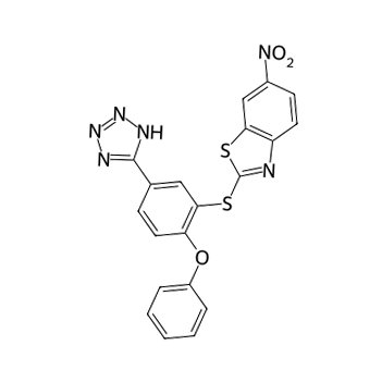 O=[N+]([O-])c1ccc2nc(Sc3cc(-c4nnn[nH]4)ccc3Oc3ccccc3)sc2c1